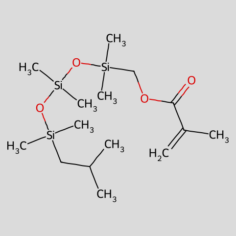 C=C(C)C(=O)OC[Si](C)(C)O[Si](C)(C)O[Si](C)(C)CC(C)C